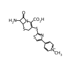 C[n+]1ccc(-c2csc(SC3=C(C(=O)O)N4C(=O)C(N)C4SC3)n2)cc1